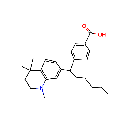 CCCCCC(c1ccc(C(=O)O)cc1)c1ccc2c(c1)N(C)CCC2(C)C